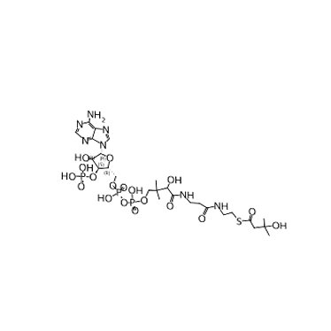 CC(C)(O)CC(=O)SCCNC(=O)CCNC(=O)C(O)C(C)(C)COP(=O)(O)OP(=O)(O)OC[C@H]1O[C@@H](n2cnc3c(N)ncnc32)[C@H](O)[C@@H]1OP(=O)(O)O